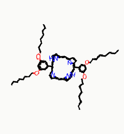 CCCCCCCCOc1cc(OCCCCCCCC)cc(-c2c3nc(cc4ccc([nH]4)c(-c4cc(OCCCCCCCC)cc(OCCCCCCCC)c4)c4nc(cc5ccc2[nH]5)C=C4)C=C3)c1